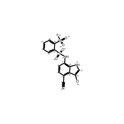 N#Cc1ccc(NS(=O)(=O)c2ccccc2S(=O)(=O)F)c2[nH]cc(Cl)c12